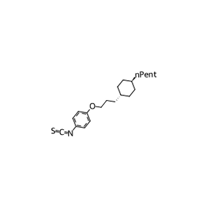 CCCCC[C@H]1CC[C@H](CCCOc2ccc(N=C=S)cc2)CC1